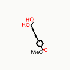 COC(=O)c1ccc(C#CC#C[C@H](O)CO)cc1